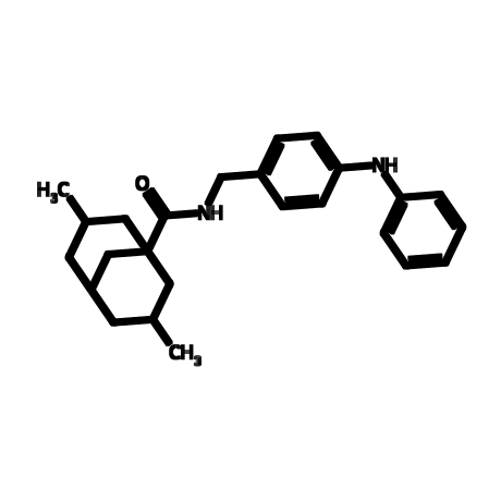 CC1CC2CC(C)CC(C(=O)NCc3ccc(Nc4ccccc4)cc3)(C1)C2